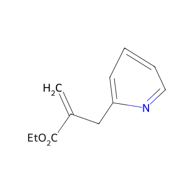 C=C(Cc1ccccn1)C(=O)OCC